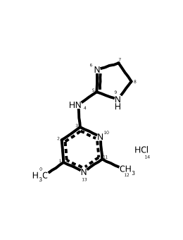 Cc1cc(NC2=NCCN2)nc(C)n1.Cl